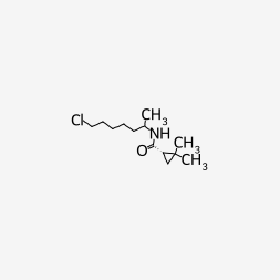 CC(CCCCCCl)NC(=O)[C@H]1CC1(C)C